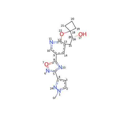 Cn1ccc(-c2noc(-c3cnc4c(c3)C[C@@H](O)C3(CCC3)O4)n2)n1